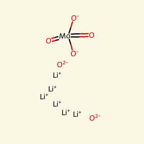 [Li+].[Li+].[Li+].[Li+].[Li+].[Li+].[O-2].[O-2].[O]=[Mo](=[O])([O-])[O-]